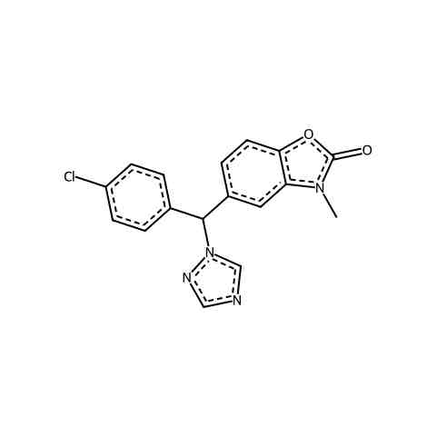 Cn1c(=O)oc2ccc(C(c3ccc(Cl)cc3)n3cncn3)cc21